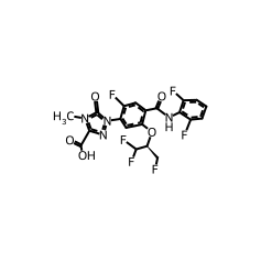 Cn1c(C(=O)O)nn(-c2cc(O[C@@H](CF)C(F)F)c(C(=O)Nc3c(F)cccc3F)cc2F)c1=O